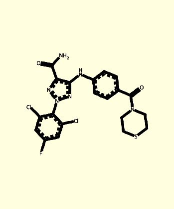 NC(=O)c1nn(-c2c(Cl)cc(F)cc2Cl)nc1Nc1ccc(C(=O)N2CCSCC2)cc1